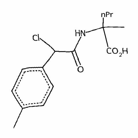 CCCC(C)(NC(=O)C(Cl)c1ccc(C)cc1)C(=O)O